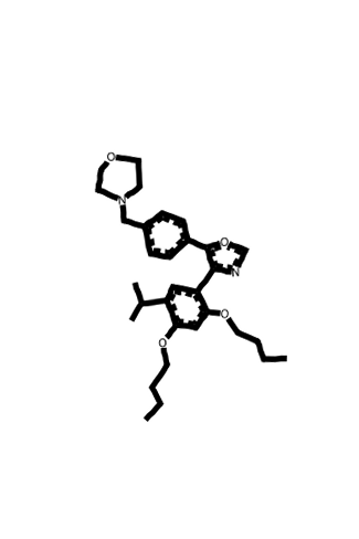 CCCCOc1cc(OCCCC)c(C(C)C)cc1-c1ncoc1-c1ccc(CN2CCOCC2)cc1